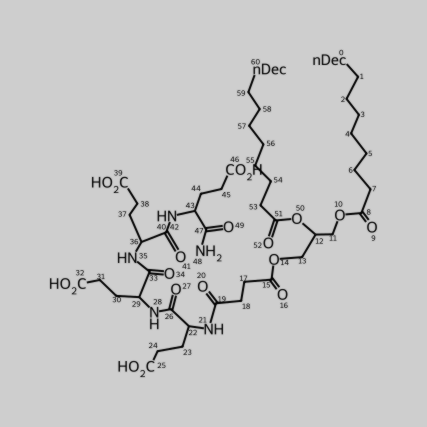 CCCCCCCCCCCCCCCCCC(=O)OCC(COC(=O)CCC(=O)NC(CCC(=O)O)C(=O)NC(CCC(=O)O)C(=O)NC(CCC(=O)O)C(=O)NC(CCC(=O)O)C(N)=O)OC(=O)CCCCCCCCCCCCCCCCC